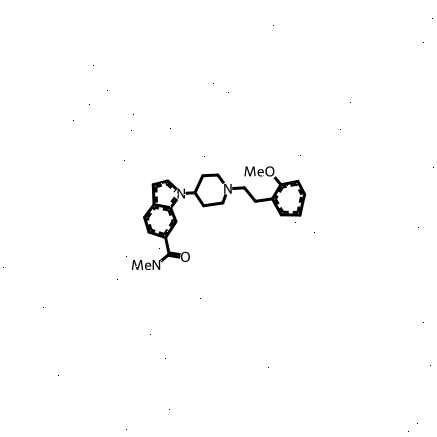 CNC(=O)c1ccc2ccn(C3CCN(CCc4ccccc4OC)CC3)c2c1